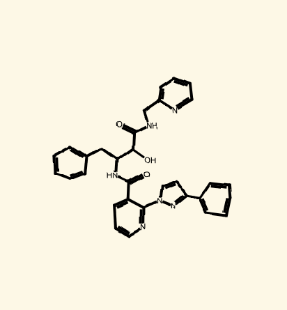 O=C(NC(Cc1ccccc1)C(O)C(=O)NCc1ccccn1)c1cccnc1-n1ccc(-c2ccccc2)n1